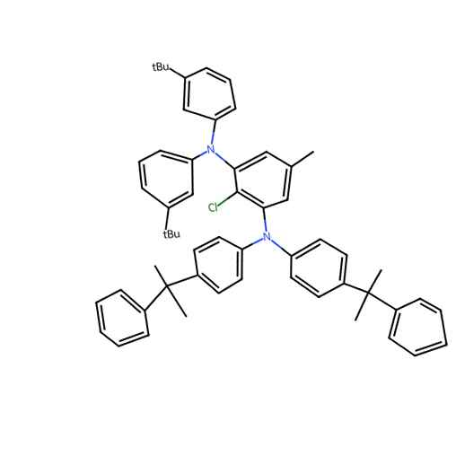 Cc1cc(N(c2ccc(C(C)(C)c3ccccc3)cc2)c2ccc(C(C)(C)c3ccccc3)cc2)c(Cl)c(N(c2cccc(C(C)(C)C)c2)c2cccc(C(C)(C)C)c2)c1